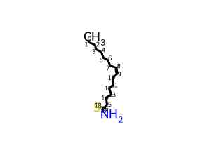 CCCCCCCC/C=C\CCCCCCC(N)=S